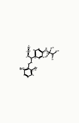 [N-]=[N+]=NC(CCc1c(Br)cccc1Br)c1ccc(OC(F)(F)C(F)F)cc1